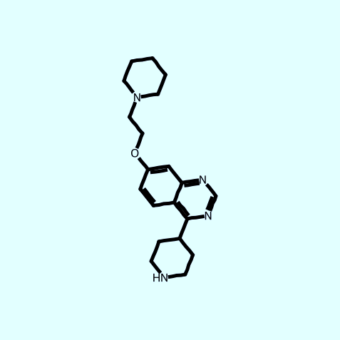 c1nc(C2CCNCC2)c2ccc(OCCN3CCCCC3)cc2n1